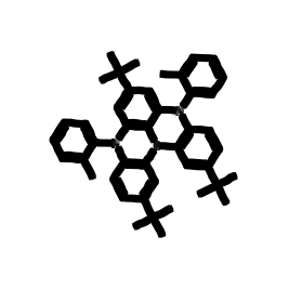 Cc1ccccc1N1c2ccc(C(C)(C)C)cc2B2c3cc(C(C)(C)C)ccc3N(c3ccccc3C)c3cc(C(C)(C)C)cc1c32